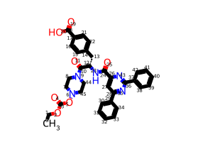 CCOC(=O)ON1CCN(C(=O)[C@H](Cc2ccc(C(=O)O)cc2)NC(=O)c2cc(-c3ccccc3)nc(-c3ccccc3)n2)CC1